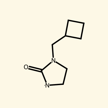 O=C1[N]CCN1CC1CCC1